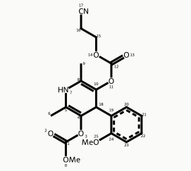 COC(=O)OC1=C(C)NC(C)=C(OC(=O)OCCC#N)C1c1ccccc1OC